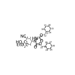 CCOC(=O)CC(CC(C#N)C(=O)O)N(NC(=O)OCc1ccccc1)C(=O)OCc1ccccc1